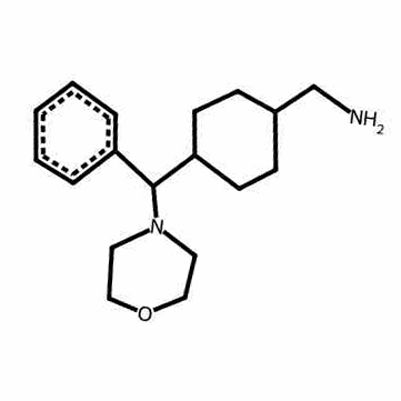 NCC1CCC(C(c2ccccc2)N2CCOCC2)CC1